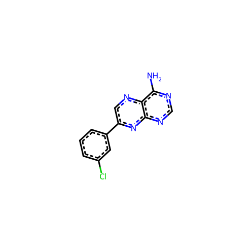 Nc1ncnc2nc(-c3cccc(Cl)c3)cnc12